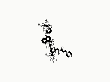 CC(C)(C)c1cc(NC(=O)N[C@@]2(C=O)C=C[C@@H](Oc3ccc4nnc(C(C)(C)C)n4c3)c3ccccc32)nc(CNC(=O)CCN2CCOCC2)n1